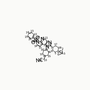 C[Si](C)(C)C1CCC(c2nc3cnc4c(ccn4S(=O)(=O)c4ccccc4)c3n2[C@H]2CC[C@H](CC#N)CC2)CC1